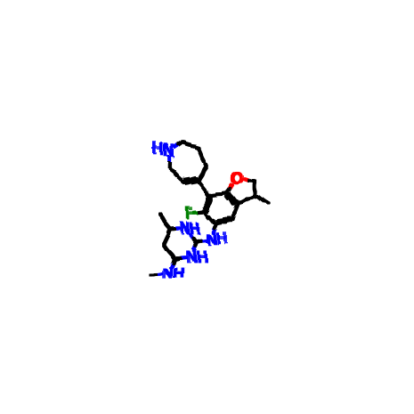 CNC1CC(C)NC(Nc2cc3c(c(C4=CCNCCC4)c2F)OCC3C)N1